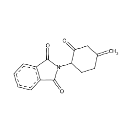 C=C1CCC(N2C(=O)c3ccccc3C2=O)C(=O)C1